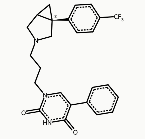 O=c1[nH]c(=O)n(CCCN2CC3C[C@]3(c3ccc(C(F)(F)F)cc3)C2)cc1-c1ccccc1